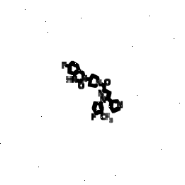 O=C(c1cc(-c2cccnc2)n(-c2ccc(F)c(C(F)(F)F)c2)n1)N1CCC(N2Cc3ccc(F)cc3NC2=O)CC1